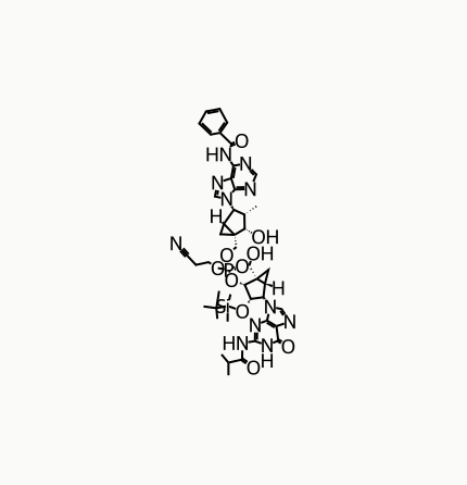 CC(C)C(=O)Nc1nc2c(ncn2[C@H]2[C@H](O[Si](C)(C)C(C)(C)C)[C@H](OP(=O)(OCCC#N)OC[C@]34C[C@@H]3[C@@H](n3cnc5c(NC(=O)c6ccccc6)ncnc53)[C@H](C)[C@@H]4O)[C@@]3(CO)C[C@H]23)c(=O)[nH]1